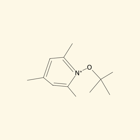 Cc1cc(C)[n+](OC(C)(C)C)c(C)c1